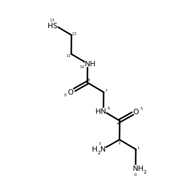 NCC(N)C(=O)NCC(=O)NCCS